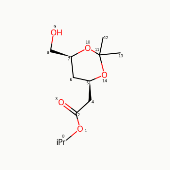 CC(C)OC(=O)C[C@H]1C[C@@H](CO)OC(C)(C)O1